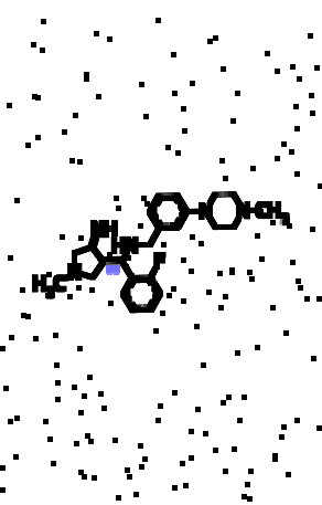 CN1CCN(c2cccc(CN/C(=C3/CN(C)CC3=N)c3ccccc3F)c2)CC1